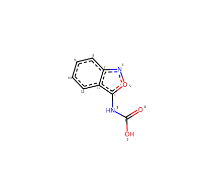 O=C(O)Nc1onc2ccccc12